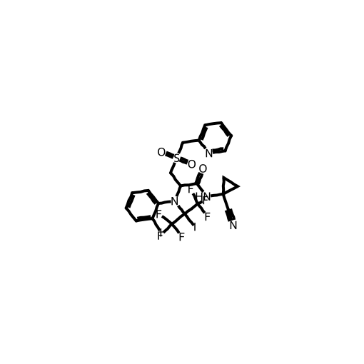 N#CC1(NC(=O)C(CS(=O)(=O)Cc2ccccn2)N(c2ccccc2I)C(I)(C(F)(F)F)C(F)(F)F)CC1